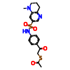 CC(=O)SCC(=O)c1ccc(NS(=O)(=O)c2cnc3c(c2)N(C)CCC3)cc1